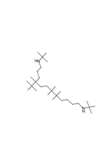 CC(C)(C)NCCCCC(C)(C)C(C)(C)CCC(C)(CCCNC(C)(C)C)C(C)(C)C